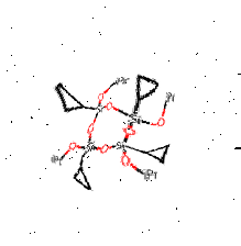 CC(C)O[Si]1(C2CC2)O[Si](OC(C)C)(C2CC2)O[Si](OC(C)C)(C2CC2)O[Si](OC(C)C)(C2CC2)O1